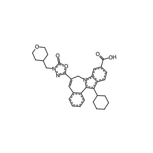 O=C(O)c1ccc2c(C3CCCCC3)c3n(c2c1)CC(c1nn(CC2CCOCC2)c(=O)o1)=Cc1ccccc1-3